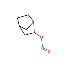 O=NOC1CC2CCC1C2